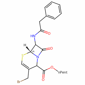 CCCCCOC(=O)C1C(CBr)=CS[C@@H]2C(NC(=O)Cc3ccccc3)C(=O)N12